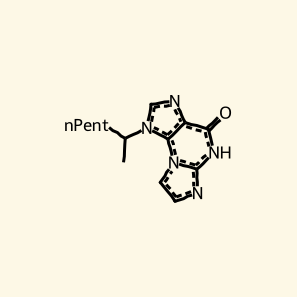 CCCCCC(C)n1cnc2c(=O)[nH]c3nccn3c21